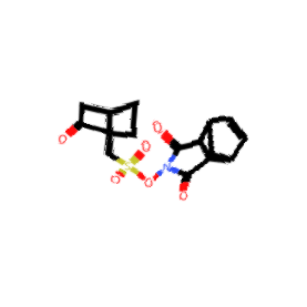 O=C1C2C3C=CC(C3)C2C(=O)N1OS(=O)(=O)CC12CCC1CC2=O